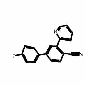 N#Cc1ccc(-c2ccc(F)cc2)cc1-c1ccccn1